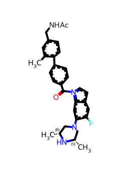 CC(=O)NCc1ccc(-c2ccc(C(=O)n3ccc4cc(F)c(N5C[C@@H](C)N[C@@H](C)C5)cc43)cc2)c(C)c1